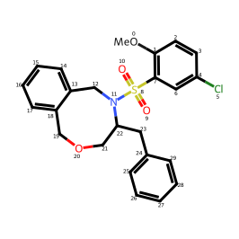 COc1ccc(Cl)cc1S(=O)(=O)N1Cc2ccccc2COCC1Cc1ccccc1